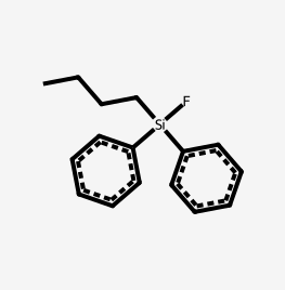 CCCC[Si](F)(c1ccccc1)c1ccccc1